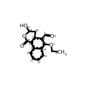 CCOc1c(C=O)c2c(c3ccccc13)C(=O)OC(O)C2